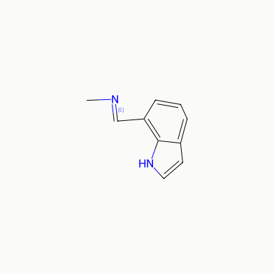 C/N=C/c1cccc2cc[nH]c12